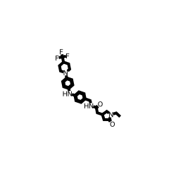 CCN1CC(CC(=O)NCc2ccc(Nc3ccc(N4CCC(C(F)(F)F)CC4)cc3)cc2)CC1=O